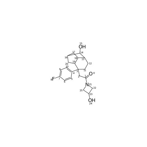 O=C(CC1(c2ccc(F)cc2)CCC2C(O)C3CC2C1C3)N1CC(O)C1